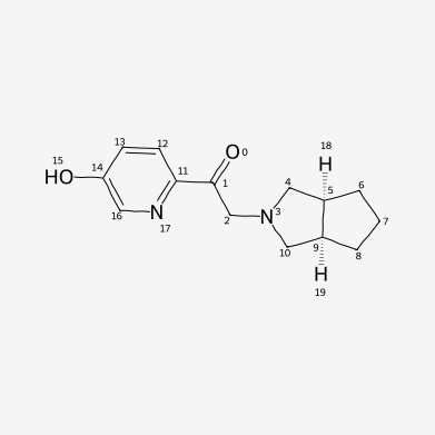 O=C(CN1C[C@H]2CCC[C@H]2C1)c1ccc(O)cn1